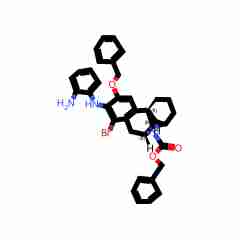 Nc1ccccc1Nc1c(OCc2ccccc2)cc2c(c1Br)C[C@@H]1[C@@H]3CCCC[C@]23CCN1C(=O)OCc1ccccc1